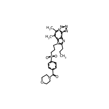 CCCc1nc2c(c(C)c(C)n3nnnc23)n1CCCS(=O)(=O)c1ccc(C(=O)N2CCOCC2)cc1